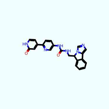 O=C(NCC1c2ccccc2-c2cncn21)Nc1ccc(-c2cc[nH]c(=O)c2)nc1